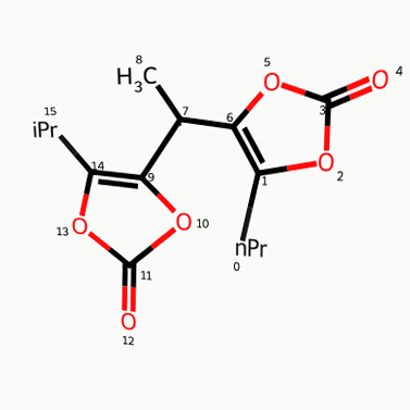 CCCc1oc(=O)oc1[C](C)c1oc(=O)oc1C(C)C